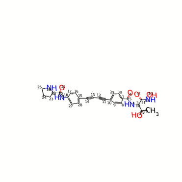 C[C@@H](O)[C@H](NC(=O)c1ccc(C#CC#Cc2ccc(NC(=O)[C@@H]3CCCN3)cc2)cc1)C(=O)NO